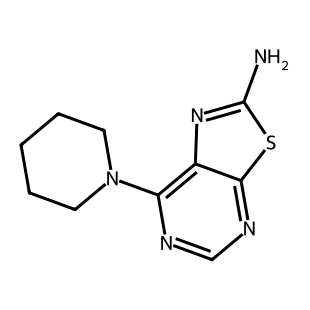 Nc1nc2c(N3CCCCC3)ncnc2s1